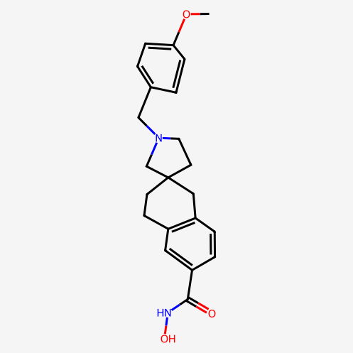 COc1ccc(CN2CCC3(CCc4cc(C(=O)NO)ccc4C3)C2)cc1